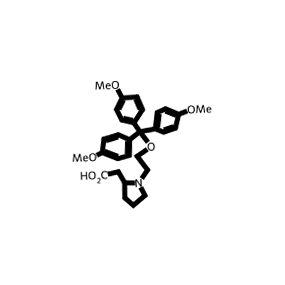 COc1ccc(C(OCCN2CCCC2CC(=O)O)(c2ccc(OC)cc2)c2ccc(OC)cc2)cc1